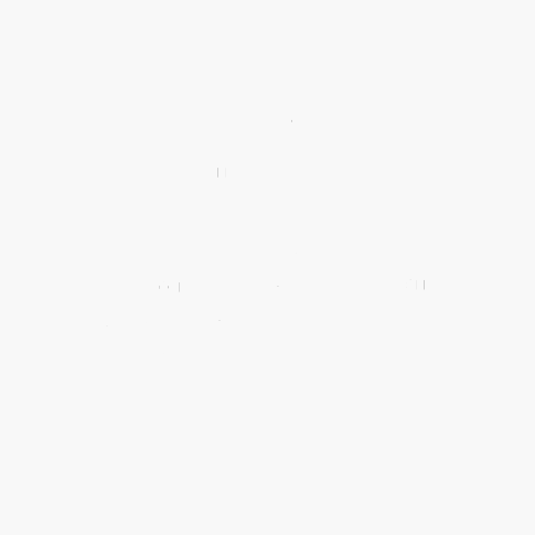 CCCCCC(CCCC)(CCCC)OC(=O)c1ccccc1C(=O)O